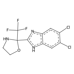 FC(F)(F)C1(c2nc3cc(Cl)c(Cl)cc3[nH]2)NCCO1